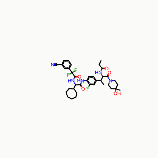 CCC(=O)NC(C(=O)N1CCC(C)(O)CC1)C(C)c1ccc(NC(=O)C(NC(=O)C(F)(F)c2cccc(C#N)c2)C2CCCCCC2)c(F)c1